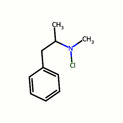 CC(Cc1ccccc1)N(C)Cl